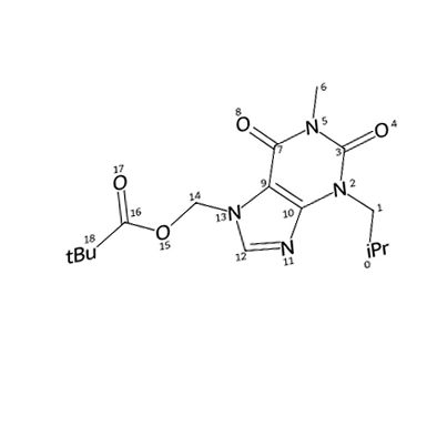 CC(C)Cn1c(=O)n(C)c(=O)c2c1ncn2COC(=O)C(C)(C)C